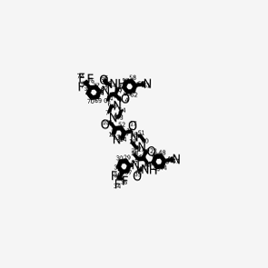 CC1=C(C(=O)N2CCN(C(=O)c3cncc(C(=O)N4CCN(C(=O)C5=C(C)N(c6cccc(C(F)(F)F)c6)C(=O)N[C@@H]5c5ccc(C#N)cc5)CC4)c3)CC2)[C@@H](c2ccc(C#N)cc2)NC(=O)N1c1cccc(C(F)(F)F)c1